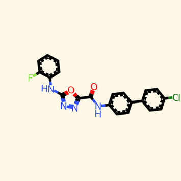 O=C(Nc1ccc(-c2ccc(Cl)cc2)cc1)c1nnc(Nc2ccccc2F)o1